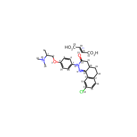 CC(COc1ccc(N2N=C3c4cc(Cl)ccc4CCC3CC2=O)cc1)N(C)C.O=C(O)/C=C/C(=O)O